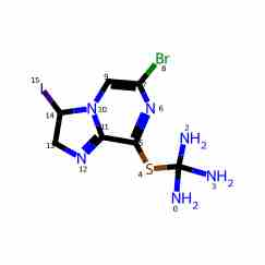 NC(N)(N)SC1=NC(Br)=CN2C1=NCC2I